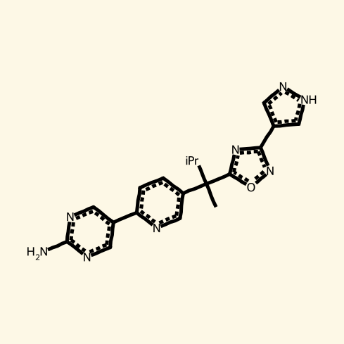 CC(C)C(C)(c1ccc(-c2cnc(N)nc2)nc1)c1nc(-c2cn[nH]c2)no1